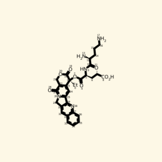 CC[C@@]1(OC(=O)[C@H](CCC(=O)O)NC(=O)[C@@H](N)CCCN)C(=O)OCc2c1cc1n(c2=O)Cc2cc3ccccc3nc2-1